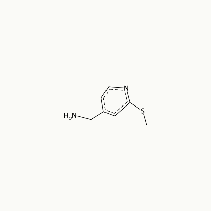 CSc1cc(CN)ccn1